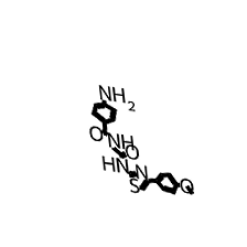 COc1ccc(-c2csc(NC(=O)CNC(=O)c3ccc(N)cc3)n2)cc1